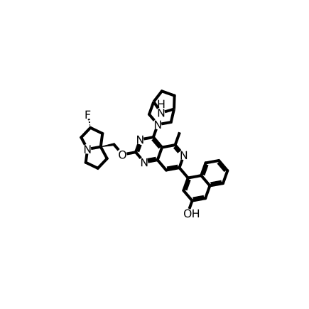 Cc1nc(-c2cc(O)cc3ccccc23)cc2nc(OC[C@@]34CCCN3C[C@H](F)C4)nc(N3CC4CCC(C3)N4)c12